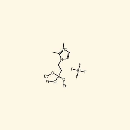 CCO[Si](CCn1cc[n+](C)c1C)(OCC)OCC.F[B-](F)(F)F